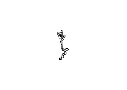 O=C1CCC(N2C(=O)c3ccc(OCCOCCOc4ccc([C@@H]5c6ccc(OCc7ccccc7)cc6CC[C@@H]5c5ccccc5)cc4)cc3C2=O)C(=O)N1